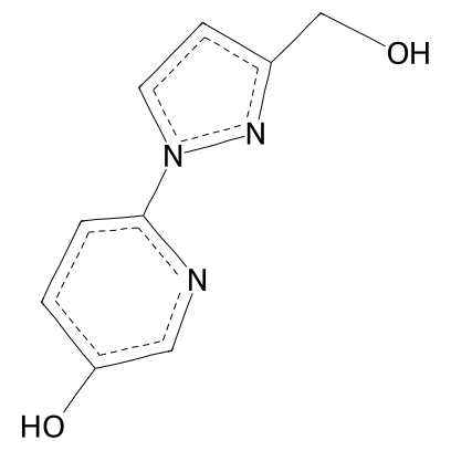 OCc1ccn(-c2ccc(O)cn2)n1